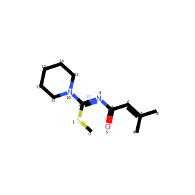 CS/C(=N\C(=O)C=C(C)C)N1CCCCC1